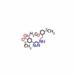 COc1ccc(SC)cc1CCNc1cc(-c2ccc(C(=O)O)c(SC)c2)ncn1